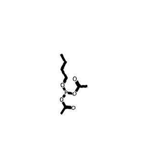 CCCCOP(OC(C)=O)OC(C)=O